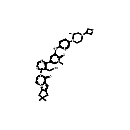 C[C@H]1CN(C2COC2)CCN1c1ccc(Nc2cc(-c3ncnc(-n4ccn5c6c(cc5c4=O)CC(C)(C)C6)c3CO)cn(C)c2=O)nc1